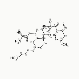 C[C@@H]1CNc2c(cccc2S(=O)(=O)NC(CCCNC(=N)N)C(=O)N2CCC(CCCCC(=O)O)CC2)C1